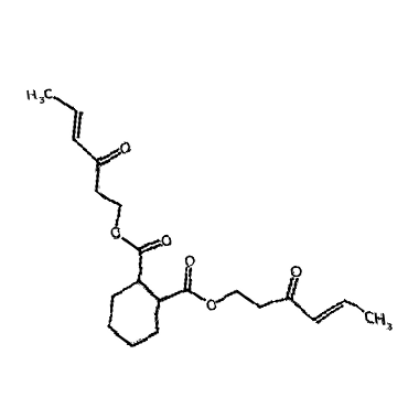 CC=CC(=O)CCOC(=O)C1CCCCC1C(=O)OCCC(=O)C=CC